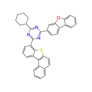 c1ccc2c(c1)ccc1sc3c(-c4nc(-c5ccc6c(c5)oc5ccccc56)nc(C5CCCCC5)n4)cccc3c12